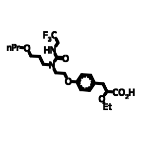 CCCOCCCN(CCOc1ccc(CC(OCC)C(=O)O)cc1)C(=O)NCC(F)(F)F